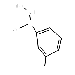 CCC(C)N[S+]([O-])c1cccc(C#N)c1